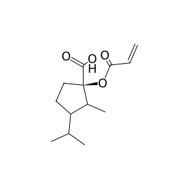 C=CC(=O)O[C@]1(C(=O)O)CCC(C(C)C)C1C